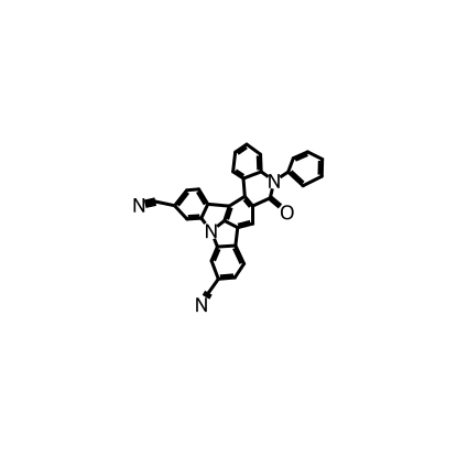 N#Cc1ccc2c3cc4c(=O)n(-c5ccccc5)c5ccccc5c4c4c5ccc(C#N)cc5n(c2c1)c34